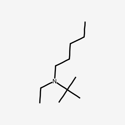 CCCCCN(CC)C(C)(C)C